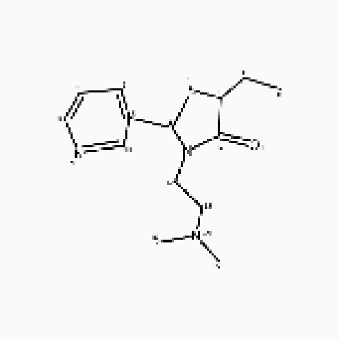 CCC1SC(c2cccnc2)N(CCN(C)C)C1=O